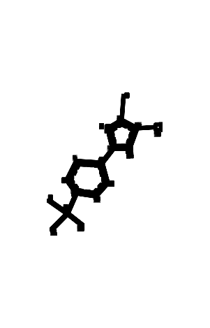 Cc1sc(-c2ccc(C(C)(C)C)cc2)nc1Cl